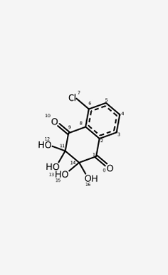 O=C1c2cccc(Cl)c2C(=O)C(O)(O)C1(O)O